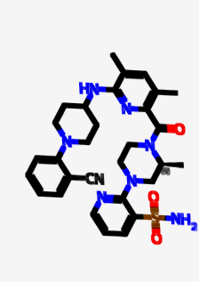 Cc1cc(C)c(C(=O)N2CCN(c3ncccc3S(N)(=O)=O)C[C@@H]2C)nc1NC1CCN(c2ccccc2C#N)CC1